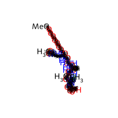 COCCOCCOCCOCCOCCOCCOCCOCCNC(=O)[C@H](CCC(=O)NCC(=O)NCC(=O)N[C@@H](Cc1ccccc1)C(=O)NCC(=O)NCO[C@H](C)C(=O)NCc1c2c(nc3cc(F)c(C)cc13)-c1cc3c(c(=O)n1C2)COC(=O)[C@]3(O)CC1CC1)NCCCCC#Cc1cnc(S(C)(=O)=O)nc1